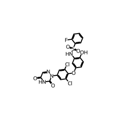 O=c1cnn(-c2cc(Cl)c(Oc3ccc(O)c(NS(=O)(=O)c4ccccc4F)c3)c(Cl)c2)c(=O)[nH]1